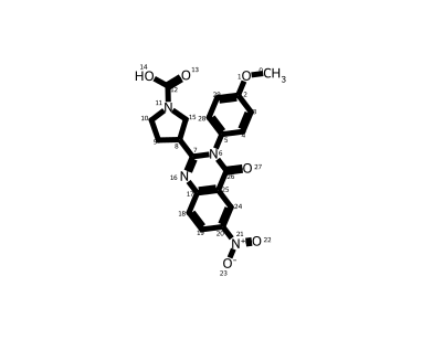 COc1ccc(-n2c(C3CCN(C(=O)O)C3)nc3ccc([N+](=O)[O-])cc3c2=O)cc1